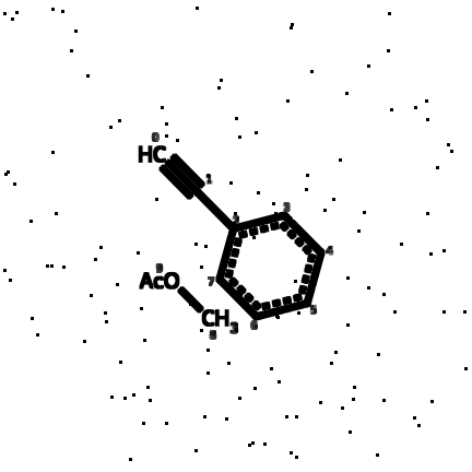 C#Cc1ccccc1.COC(C)=O